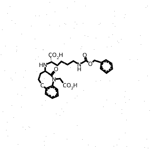 O=C(O)CN1C(=O)C(N[C@@H](CCCCNC(=O)OCc2ccccc2)C(=O)O)CCCc2ccccc21